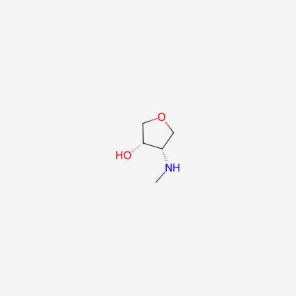 CN[C@H]1COC[C@H]1O